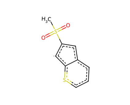 CS(=O)(=O)c1[c]c2scccc-2c1